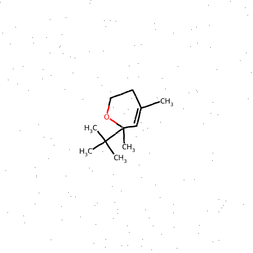 CC1=CC(C)(C(C)(C)C)OCC1